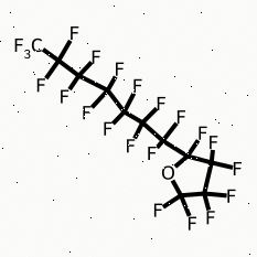 FC(F)(F)C(F)(F)C(F)(F)C(F)(F)C(F)(F)C(F)(F)C(F)(F)C1(F)OC(F)(F)C(F)(F)C1(F)F